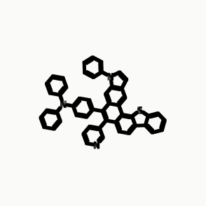 c1ccc(N(c2ccccc2)c2ccc(-c3c(-c4cccnc4)c4ccc5c6ccccc6sc5c4c4cc5ccn(-c6ccccc6)c5cc34)cc2)cc1